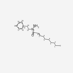 CCCCCCC/C=C/C(=O)N(N)CCc1ccccc1